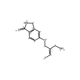 NC/C(=C/F)COc1ccc2c(c1)CNC2=O